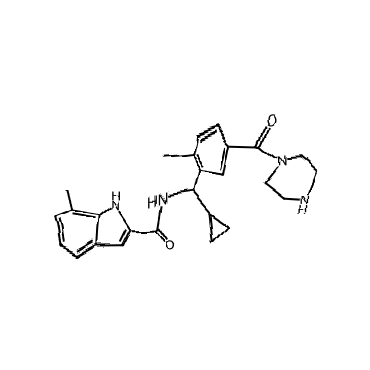 Cc1ccc(C(=O)N2CCNCC2)cc1C(NC(=O)c1cc2cccc(C)c2[nH]1)C1CC1